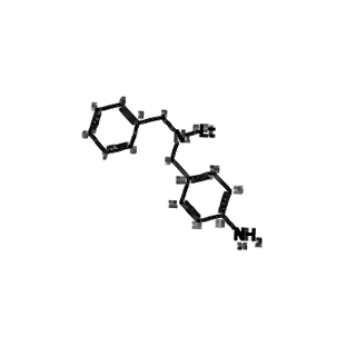 CCN(Cc1ccccc1)Cc1ccc(N)cc1